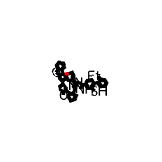 CCc1ccccc1-c1ccc(C2N=C(c3ccccc3)N=C(c3cccc4oc5ccc(-c6ccc7c(c6)oc6ccccc67)cc5c34)N2)cc1S